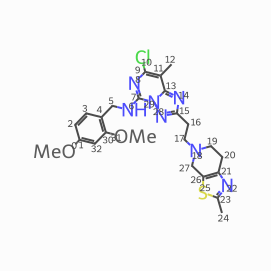 COc1ccc(CNc2nc(Cl)c(C)c3nc(CCN4CCc5nc(C)sc5C4)nn23)c(OC)c1